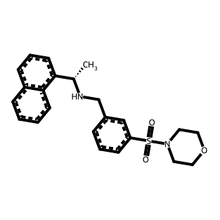 C[C@H](NCc1cccc(S(=O)(=O)N2CCOCC2)c1)c1cccc2ccccc12